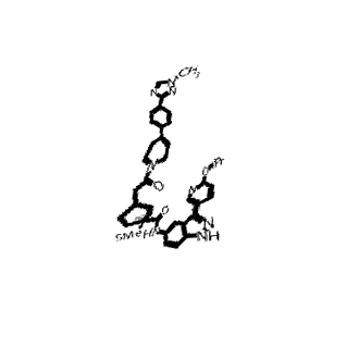 CS[C@@]1(C(=O)Nc2ccc3[nH]nc(-c4ccc(OC(C)C)nc4)c3c2)CCC(CC(=O)N2CC=C(c3ccc(-c4ncn(C)n4)cc3)CC2)C1